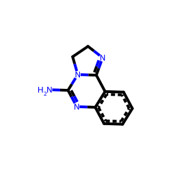 NC1=Nc2ccccc2C2=NCCN12